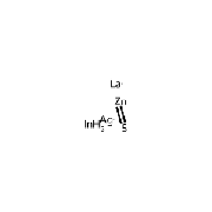 [Ag].[InH3].[La].[S]=[Zn]